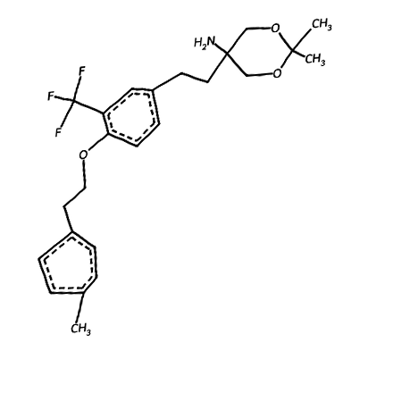 Cc1ccc(CCOc2ccc(CCC3(N)COC(C)(C)OC3)cc2C(F)(F)F)cc1